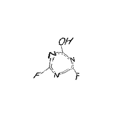 Oc1nc(F)nc(F)n1